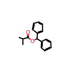 CC(C)C(=O)OC(c1ccccc1)c1ccccc1